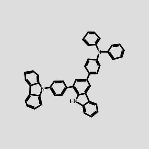 c1ccc(N(c2ccccc2)c2ccc(-c3cc(-c4ccc(-n5c6ccccc6c6ccccc65)cc4)c4[nH]c5ccccc5c4c3)cc2)cc1